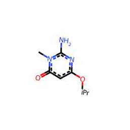 CC(C)Oc1cc(=O)n(C)c(N)n1